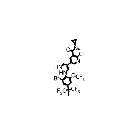 CN(C(=O)c1cc(/C(C=N)=C/Nc2c(Br)cc(C(F)(C(F)(F)F)C(F)(F)F)cc2OC(F)(F)F)cnc1Cl)C1CC1